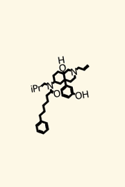 C=CCN1CCC2(c3cccc(O)c3)CC(N(CC(C)C)C(=O)CCCCCc3ccccc3)CCC2(O)C1